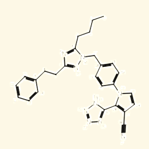 CCCCc1nc(CCc2ccccc2)nn1Cc1ccc(-n2ccc(C#N)c2-c2nnn[nH]2)cc1